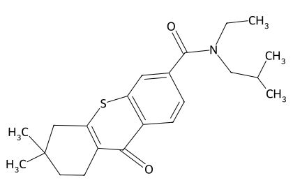 CCN(CC(C)C)C(=O)c1ccc2c(=O)c3c(sc2c1)CC(C)(C)CC3